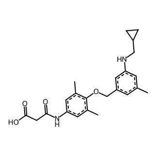 Cc1cc(COc2c(C)cc(NC(=O)CC(=O)O)cc2C)cc(NCC2CC2)c1